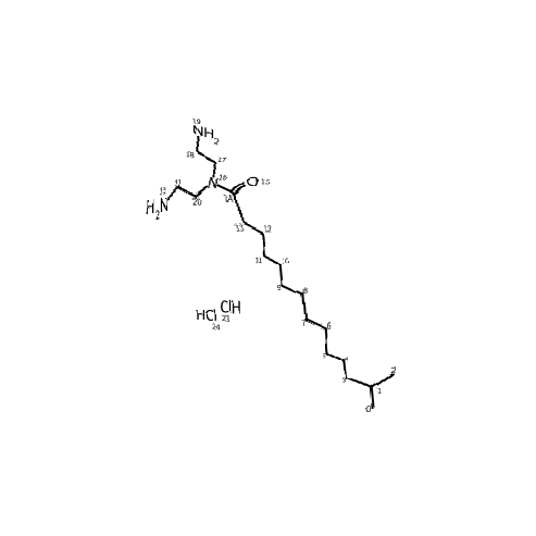 CC(C)CCCCCCCCCCCC(=O)N(CCN)CCN.Cl.Cl